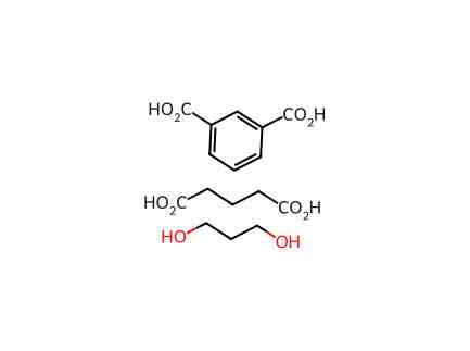 O=C(O)CCCC(=O)O.O=C(O)c1cccc(C(=O)O)c1.OCCCO